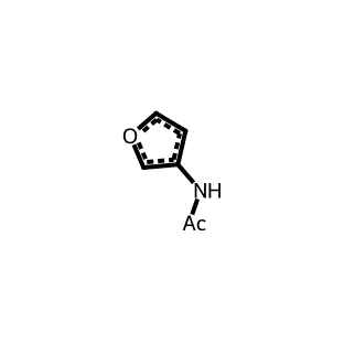 CC(=O)Nc1ccoc1